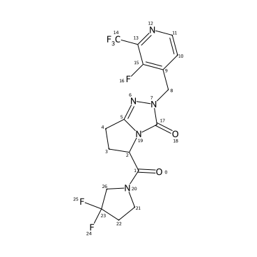 O=C(C1CCc2nn(Cc3ccnc(C(F)(F)F)c3F)c(=O)n21)N1CCC(F)(F)C1